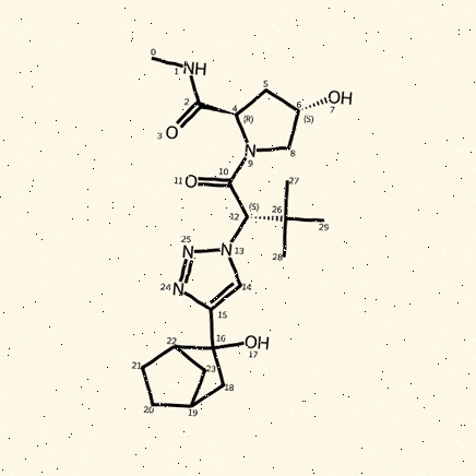 CNC(=O)[C@H]1C[C@H](O)CN1C(=O)[C@@H](n1cc(C2(O)CC3CCC2C3)nn1)C(C)(C)C